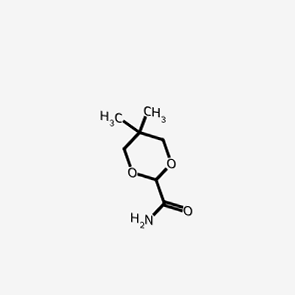 CC1(C)COC(C(N)=O)OC1